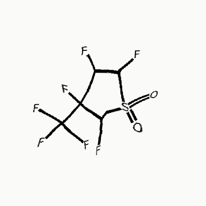 O=S1(=O)C(F)C(F)C(F)(C(F)(F)F)C1F